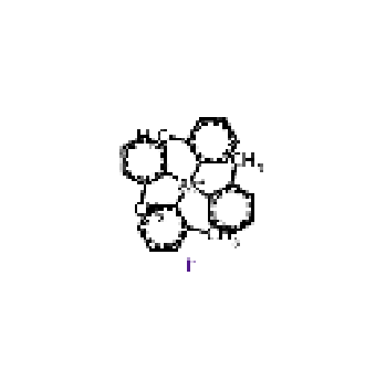 Cc1ccccc1[As+](c1ccccc1C)(c1ccccc1C)c1ccccc1C.[I-]